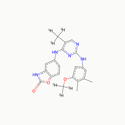 [2H]C([2H])([2H])Oc1cc(Nc2ncc(C([2H])([2H])[2H])c(Nc3ccc4oc(=O)[nH]c4c3)n2)cc(C)c1C